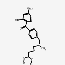 CCOC(CCCN(C)Cc1ccc(C(=O)c2ccc(OC)cc2O)cc1)OCC